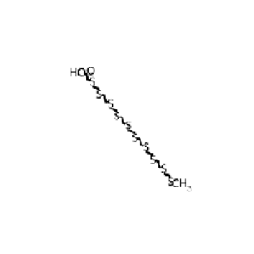 CSCCSCCSCCSCCSCCSCCSCCSCCSCCSCC(=O)O